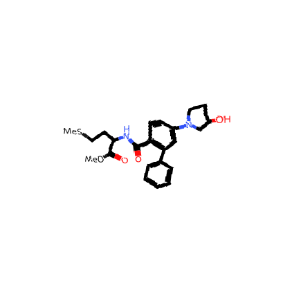 COC(=O)C(CCSC)NC(=O)c1ccc(N2CCC(O)C2)cc1-c1ccccc1